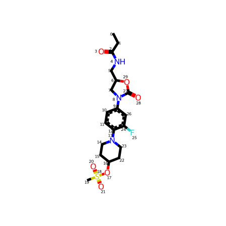 CCC(=O)NCC1CN(c2ccc(N3CCC(OS(C)(=O)=O)CC3)c(F)c2)C(=O)O1